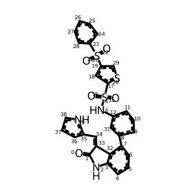 O=C1Nc2cccc(-c3cccc(NS(=O)(=O)c4cc(S(=O)(=O)c5ccccc5)cs4)c3)c2C1=Cc1ccc[nH]1